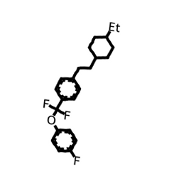 CCC1CCC(CCc2ccc(C(F)(F)Oc3ccc(F)cc3)cc2)CC1